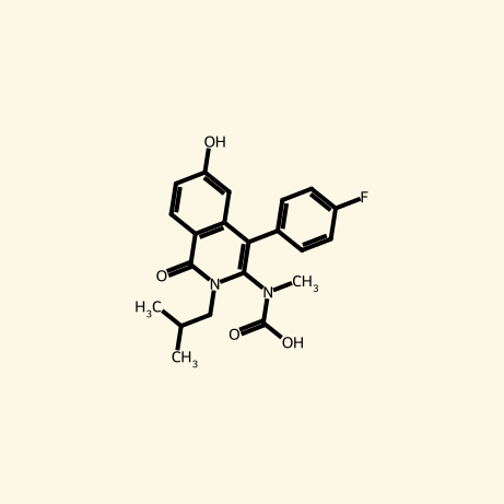 CC(C)Cn1c(N(C)C(=O)O)c(-c2ccc(F)cc2)c2cc(O)ccc2c1=O